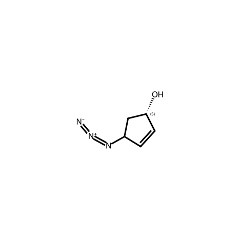 [N-]=[N+]=NC1C=C[C@@H](O)C1